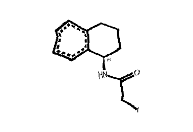 O=C(CI)N[C@@H]1CCCc2ccccc21